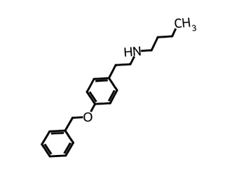 CCCCNCCc1ccc(OCc2ccccc2)cc1